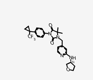 CC1(C)C(=O)N(c2ccc(C3(C(F)(F)F)CC3)cc2)C(=O)N1Cc1ccnc(N[C@H]2CCOC2)c1